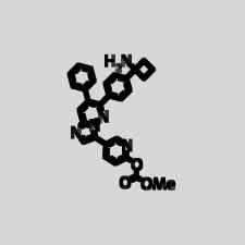 COC(=O)Oc1ccc(-c2cnc3cc(-c4ccccc4)c(-c4ccc(C5(N)CCC5)cc4)nn23)cn1